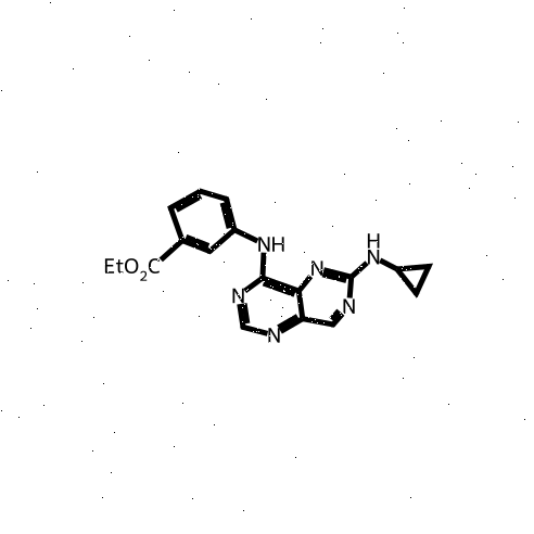 CCOC(=O)c1cccc(Nc2ncnc3cnc(NC4CC4)nc23)c1